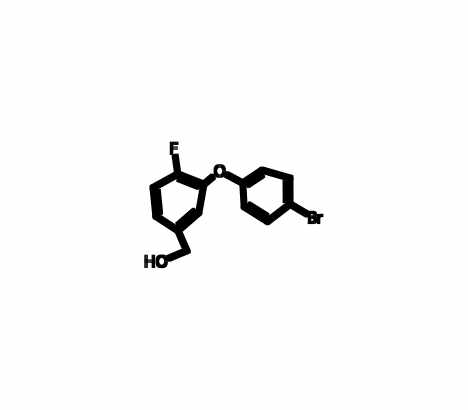 OCc1ccc(F)c(Oc2ccc(Br)cc2)c1